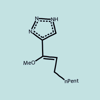 CCCCCCC=C(OC)c1c[nH]nn1